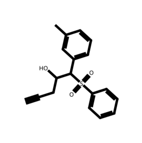 C#CCC(O)C(c1cccc(C)c1)S(=O)(=O)c1ccccc1